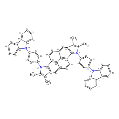 Cc1c(C)n(-c2ccc(-n3c4ccccc4c4ccccc43)cc2)c2c1cc1ccc3c4c(ccc2c14)cc1c(C)c(C)n(-c2ccc(-n4c5ccccc5c5ccccc54)cc2)c13